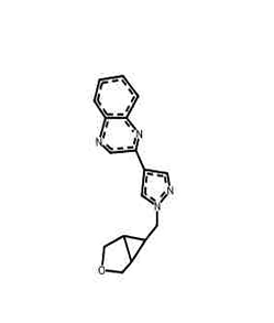 c1ccc2nc(-c3cnn(CC4C5COCC54)c3)cnc2c1